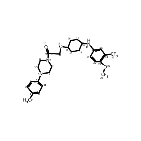 Cc1ccc(N2CCN(C(=O)COC3CCC(Nc4ccc(OC(F)(F)F)c(C(F)(F)F)c4)CC3)CC2)cc1